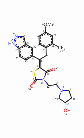 COc1ccc(C/C(=C2/SC(=O)N(CCN3CC[C@H](O)C3)C2=O)c2ccc3[nH]ncc3c2)c(C(F)(F)F)c1